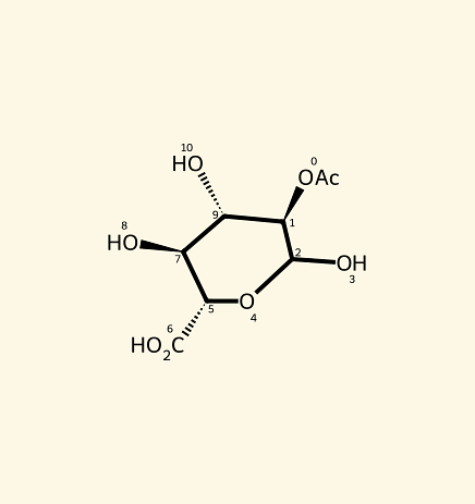 CC(=O)O[C@H]1C(O)O[C@H](C(=O)O)[C@@H](O)[C@@H]1O